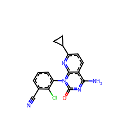 N#Cc1cccc(-n2c(=O)nc(N)c3ccc(C4CC4)nc32)c1Cl